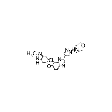 Cc1nc2ccc(Oc3ccc4ncc(-c5cnn(C6CC7COCC(C6)N7)c5)nc4c3Cl)cc2[nH]1